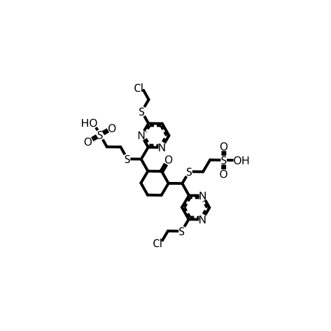 O=C1C(C(SCCS(=O)(=O)O)c2cc(SCCl)ncn2)CCCC1C(SCCS(=O)(=O)O)c1nccc(SCCl)n1